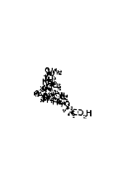 C=C(CC(C)(C)C(=O)O)O[C@H]1CC[C@@]2(C)[C@@H](CCC3(C)[C@@H]2CC[C@@H]2C4=C(C(C)C)C(=O)CC4(CC(=N)OC(=C=CC)c4ccc(OC)cn4)CC[C@]23C)C1(C)C